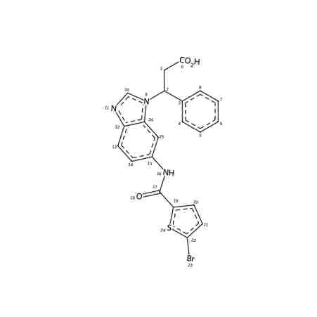 O=C(O)CC(c1ccccc1)n1cnc2ccc(NC(=O)c3ccc(Br)s3)cc21